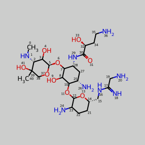 CN[C@@H]1C(O)[C@@H](OC2C(O)C(OC3O[C@H](CNC(=N)CN)CCC3N)[C@@H](N)C[C@H]2NC(=O)[C@@H](O)CCN)OCC1(C)O